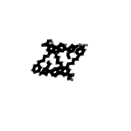 CCn1nc(C)cc1-c1ncc2c3cc(C(N)=O)cc(OCCCN4CCOCC4)c3n(C/C=C/Cn3c4nc(-c5cc(C)nn5CC)ncc4c4cc(C(N)=O)cc(OCCCN5CCC(F)(F)CC5)c43)c2n1